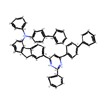 c1ccc(-c2ccc(-c3cc(-c4ccc5c(c4)Cc4cccc(N(c6ccccc6)c6ccc(-c7ccccc7)cc6)c4-5)nc(-c4ccccc4)n3)cc2)cc1